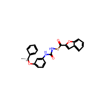 C[C@@H](Oc1cccc(NC(=O)NSC(=O)c2cc3ccccc3o2)c1)c1ccccc1